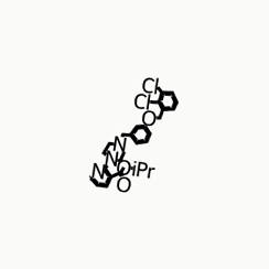 CC(C)OC(=O)c1cccnc1N1CCN(Cc2cccc(OCc3cccc(Cl)c3Cl)c2)CC1